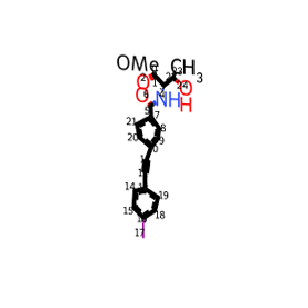 COC(=O)[C@@H](NC(=O)c1ccc(C#Cc2ccc(I)cc2)cc1)[C@@H](C)O